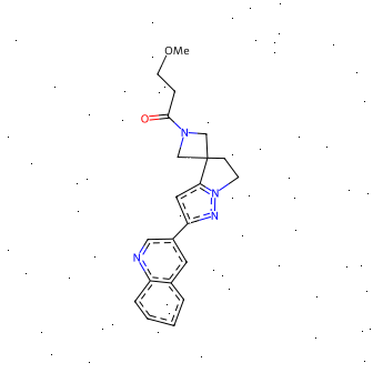 COCCC(=O)N1CC2(CCn3nc(-c4cnc5ccccc5c4)cc32)C1